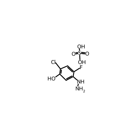 NNc1cc(O)c(Cl)cc1F.O=S(=O)(O)O